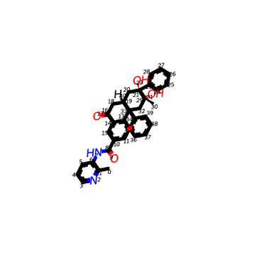 Cc1ncccc1NC(=O)c1ccc2c(c1)C(=O)C[C@@H]1C[C@@](O)(c3ccccc3)[C@](C)(O)CC21c1ccccc1